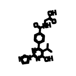 CC(C)c1c(O)nc(-n2ccnc2)nc1-c1ccc(C(=O)NCC(=O)O)cc1